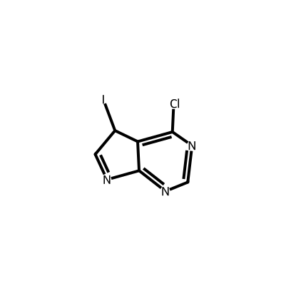 Clc1ncnc2c1C(I)C=N2